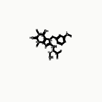 COc1cccc(Cn2c(N[C@@H](CO)C(C)C)nc3c2c(=O)n(C)c(=O)n3C)c1